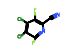 N#Cc1nc(F)c(Cl)c(Cl)c1F